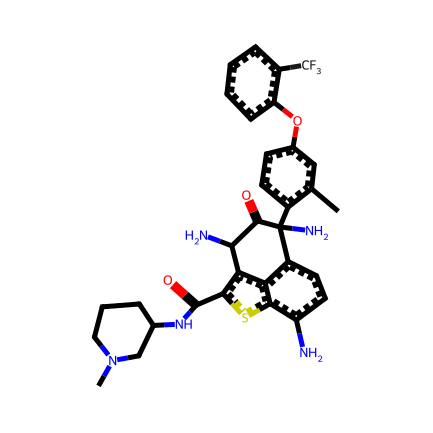 Cc1cc(Oc2ccccc2C(F)(F)F)ccc1C1(N)C(=O)C(N)c2c(C(=O)NC3CCCN(C)C3)sc3c(N)ccc1c23